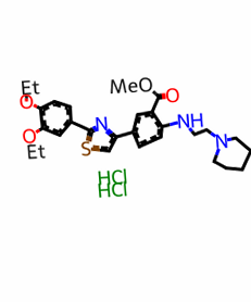 CCOc1ccc(-c2nc(-c3ccc(NCCN4CCCCC4)c(C(=O)OC)c3)cs2)cc1OCC.Cl.Cl